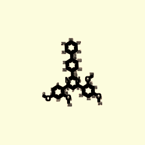 COc1ccc(-c2cc(-c3ccc(OC)cc3OC)nc(-c3ccc(-c4ccccc4)cc3)n2)c(OC)c1